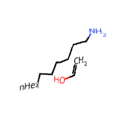 C=CO.CCCCCCCCCCCCN